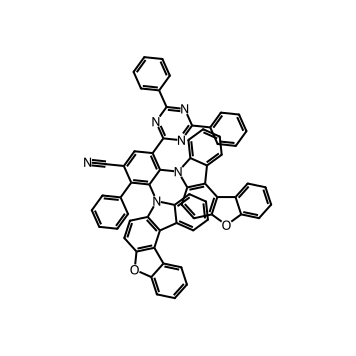 N#Cc1cc(-c2nc(-c3ccccc3)nc(-c3ccccc3)n2)c(-n2c3ccccc3c3c4c(ccc32)oc2ccccc24)c(-n2c3ccccc3c3c4c(ccc32)oc2ccccc24)c1-c1ccccc1